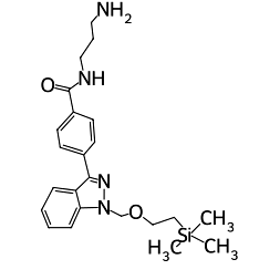 C[Si](C)(C)CCOCn1nc(-c2ccc(C(=O)NCCCN)cc2)c2ccccc21